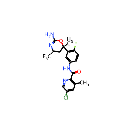 Cc1cc(Cl)cnc1C(=O)Nc1ccc(F)c([C@]2(C)C[C@@H](C(F)(F)F)N=C(N)O2)c1